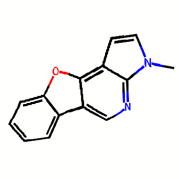 Cn1ccc2c3oc4ccccc4c3cnc21